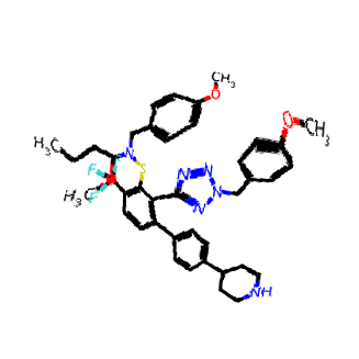 CCCC(OC)N(Cc1ccc(OC)cc1)Sc1c(C(F)(F)F)ccc(-c2ccc(C3CCNCC3)cc2)c1-c1nnn(Cc2ccc(OC)cc2)n1